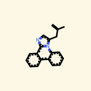 C=C(C)Cc1cnc2c3ccccc3c3ccccc3n12